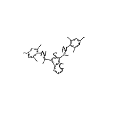 C/C(=N\c1c(C)cc(C)cc1C)c1sc(/C(C)=N/c2c(C)cc(C)cc2C)c2ccccc12